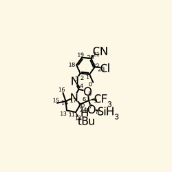 Cc1c(N=C2O[C@@](O[SiH3])(C(F)(F)F)[C@H]3[C@@H](C(C)(C)C)CC(C)(C)N23)ccc(C#N)c1Cl